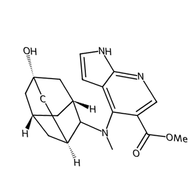 COC(=O)c1cnc2[nH]ccc2c1N(C)C1[C@@H]2C[C@@H]3C[C@H]1C[C@@](O)(C3)C2